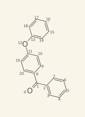 O=C(c1cc[c]cc1)c1ccc(Oc2cc[c]cc2)cc1